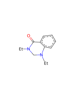 CCN1CN(CC)c2ccccc2C1=O